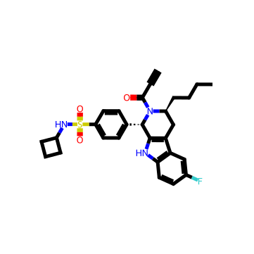 C#CC(=O)N1[C@@H](CCCC)Cc2c([nH]c3ccc(F)cc23)[C@@H]1c1ccc(S(=O)(=O)NC2CCC2)cc1